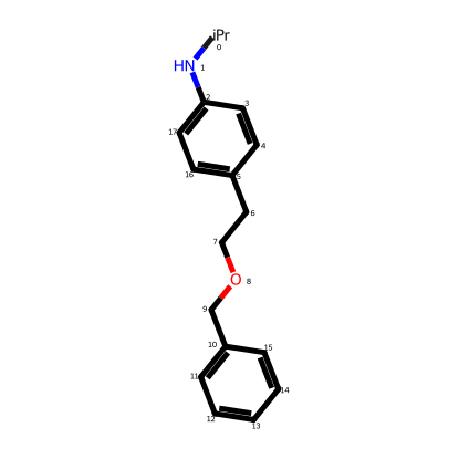 CC(C)Nc1ccc(CCOCc2ccccc2)cc1